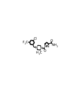 C[C@@H]1CN(Cc2cc(Cl)cc(C(F)(F)F)c2)CCN1C(=O)n1ccc(C(N)=O)n1